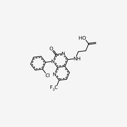 C=C(O)CCNc1nc(=O)n(-c2ccccc2Cl)c2nc(C(F)(F)F)ccc12